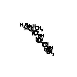 Cc1cc(Nc2nccc(-c3ccc(NS(C)(=O)=O)nc3)n2)cnc1N1C[C@@H]2C[C@H]1CN2C